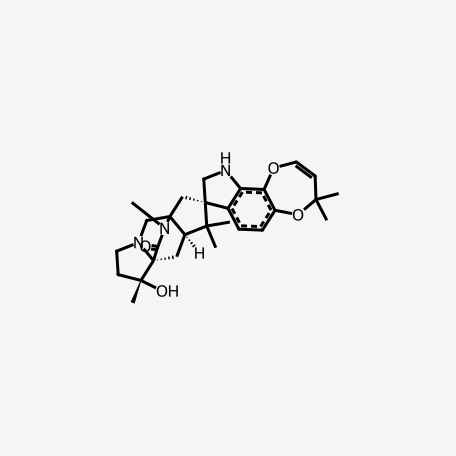 CN1C(=O)[C@]23C[C@H]4C1(CN2CC[C@@]3(C)O)C[C@@]1(CNc2c1ccc1c2OC=CC(C)(C)O1)C4(C)C